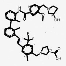 COc1cc(C(=O)Nc2cccc(-c3cccc(/C=C/c4cc(C)c(CN5CC[C@@H](C(=O)O)C5)cc4C(F)(F)F)c3C)c2C)ncc1CN1CC[C@@H](O)C1